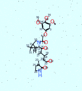 COc1cc(OCC(=O)N2CC3[C@@H](C2C(=O)C(C)C(C)[C@H](C=O)C[C@@H]2CCNC2=O)C3(C)C)cc(OC)c1OC